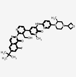 C[C@H]1CN(C2COC2)CCN1c1ccc(Nc2cc(-c3ccnc(-n4ncc5cc(C(C)(C)C)cc(F)c5c4=O)c3CO)cn(C)c2=O)nc1